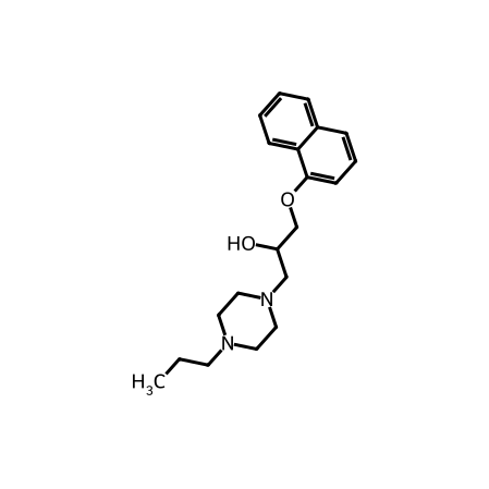 CCCN1CCN(CC(O)COc2cccc3ccccc23)CC1